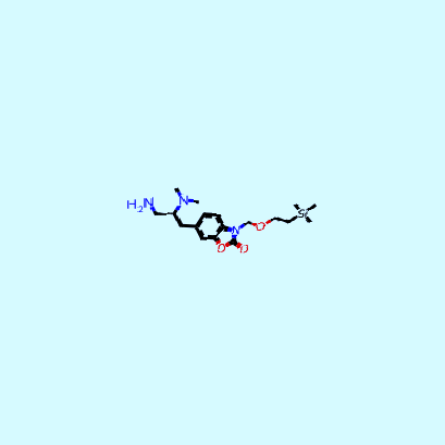 CN(C)[C@H](CN)Cc1ccc2c(c1)oc(=O)n2COCC[Si](C)(C)C